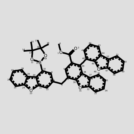 COC(=O)c1cc(Cc2cc(B3OC(C)(C)C(C)(C)O3)c3c(c2)oc2ccccc23)c2oc3ccccc3c2c1-c1cccc2c1oc1ccccc12